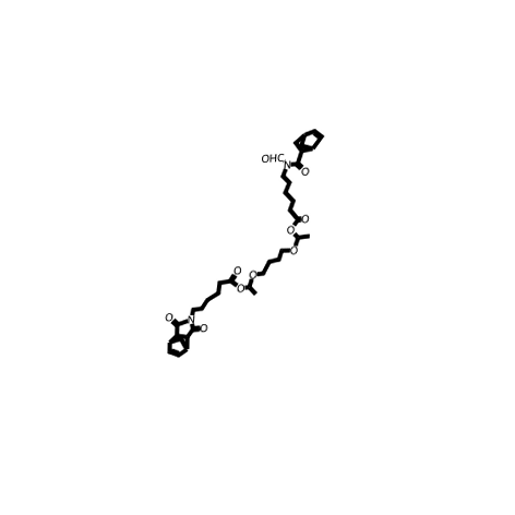 CC(OCCCCOC(C)OC(=O)CCCCCN1C(=O)C2C3C=CC(C3)C2C1=O)OC(=O)CCCCCN(C=O)C(=O)C1CC2C=CC1C2